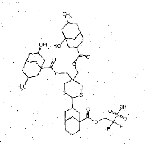 CC1CC2CC(C(=O)OCC3(COC(=O)C45CC(C)CC(CC(O)C4)C5)CSC(C4CC5CCCC(C(=O)OCC(F)(F)S(=O)(=O)O)(C5)C4)SC3)CC(O)(C1)C2